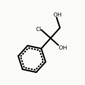 OCC(O)(Cl)c1ccccc1